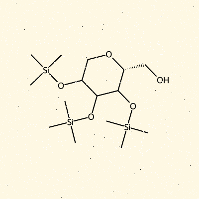 C[Si](C)(C)OC1CO[C@H](CO)C(O[Si](C)(C)C)C1O[Si](C)(C)C